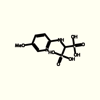 COc1ccc(NC(P(=O)(O)O)P(=O)(O)O)nc1